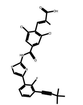 CC(=Cc1c(Cl)cc(C(=O)Nc2nc(-c3cccc(C#CC(C)(C)C)c3F)cs2)cc1Cl)C(=O)O